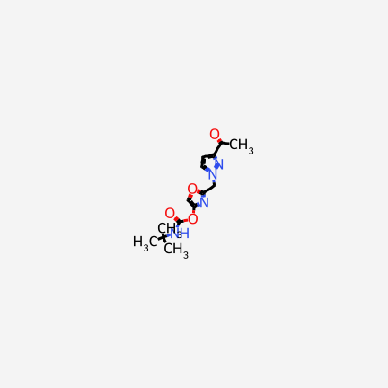 CC(=O)c1ccn(Cc2nc(OC(=O)NC(C)(C)C)co2)n1